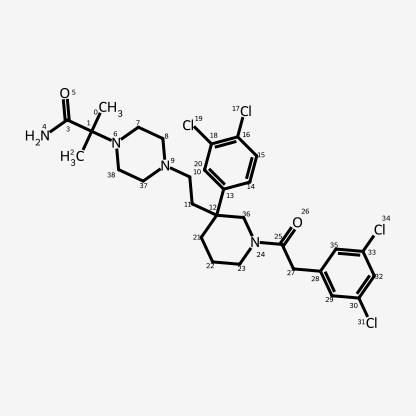 CC(C)(C(N)=O)N1CCN(CCC2(c3ccc(Cl)c(Cl)c3)CCCN(C(=O)Cc3cc(Cl)cc(Cl)c3)C2)CC1